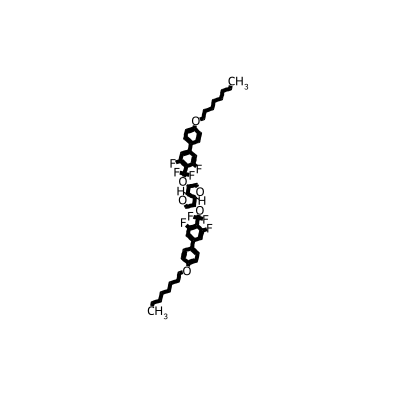 CCCCCCCCOc1ccc(-c2cc(F)c(C(F)(F)O[C@H]3CO[C@@H]4[C@H]3OC[C@H]4OC(F)(F)c3c(F)cc(-c4ccc(OCCCCCCCC)cc4)cc3F)c(F)c2)cc1